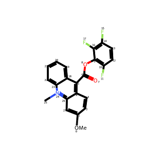 COc1ccc2c(C(=O)Oc3c(F)ccc(F)c3F)c3ccccc3[n+](C)c2c1